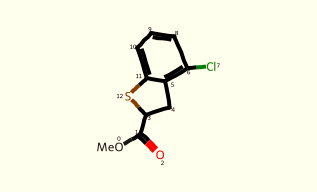 COC(=O)[C]1Cc2c(Cl)cccc2S1